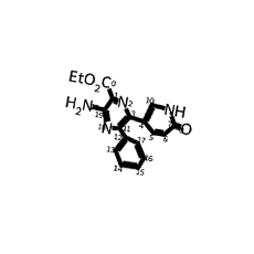 CCOC(=O)c1nc(-c2ccc(=O)[nH]c2)c(-c2ccccc2)nc1N